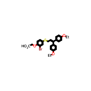 CCOc1ccc(C(=CCSc2ccc(OCC(=O)O)c(Br)c2)c2ccc(OCC)cc2)cc1